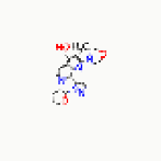 C[C@@H]1COCCN1c1cc(CO)c2ccnc(-c3ccnn3C3CCCCO3)c2n1